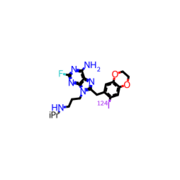 CC(C)NCCCn1c(Cc2cc3c(cc2[124I])OCCO3)nc2c(N)nc(F)nc21